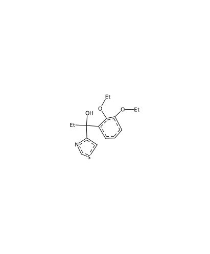 CCOc1cccc(C(O)(CC)c2cscn2)c1OCC